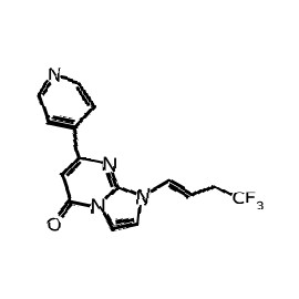 O=c1cc(-c2ccncc2)nc2n(/C=C/CC(F)(F)F)ccn12